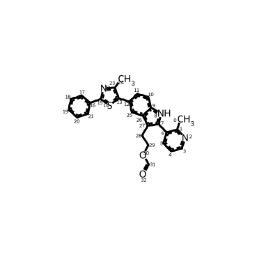 Cc1ncccc1-c1[nH]c2ccc(-c3sc(-c4ccccc4)nc3C)cc2c1CCOC=O